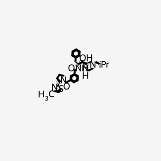 Cc1csc([C@H]2CCCN2C(=O)c2cccc(C(=O)N[C@@H](Cc3ccccc3)[C@H](O)[C@H]3CN(CC(C)C)CCN3)c2)n1